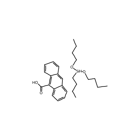 CCCCO[SiH](CCCC)OCCCC.O=C(O)c1c2ccccc2cc2ccccc12